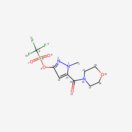 Cn1nc(OS(=O)(=O)C(F)(F)F)cc1C(=O)N1CCOCC1